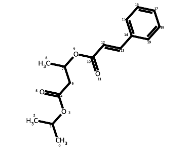 CC(C)OC(=O)CC(C)OC(=O)/C=C/c1ccccc1